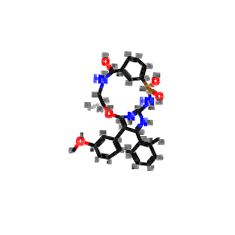 COc1cccc(-c2c3nc(nc2-c2c(C)cccc2C)NS(=O)(=O)c2cccc(c2)C(=O)NC[C@@H](C)O3)c1